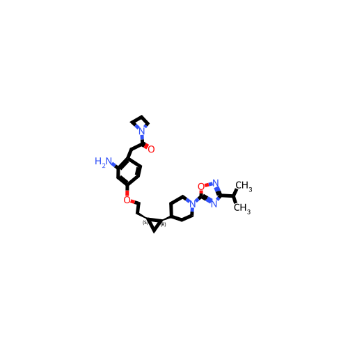 CC(C)c1noc(N2CCC([C@H]3C[C@H]3CCOc3ccc(CC(=O)N4CCC4)c(N)c3)CC2)n1